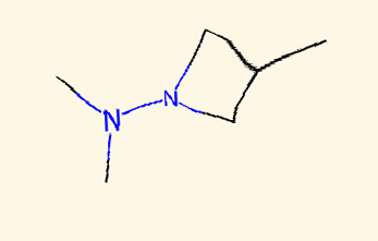 CC1CN(N(C)C)C1